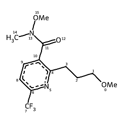 COCCCc1nc(C(F)(F)F)ccc1C(=O)N(C)OC